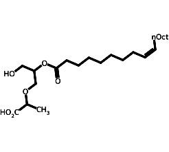 CCCCCCCC/C=C\CCCCCCCC(=O)OC(CO)COC(C)C(=O)O